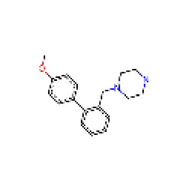 COc1ccc(-c2ccccc2CN2CC[N]CC2)cc1